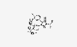 Cc1ccc(-c2[nH]c(C(F)F)nc2-c2cc(F)c(S(C)(=O)=O)c(F)c2)cc1OC(F)(F)F